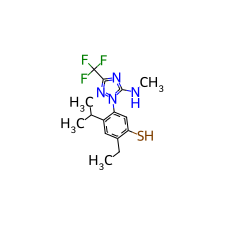 CCc1cc(C(C)C)c(-n2nc(C(F)(F)F)nc2NC)cc1S